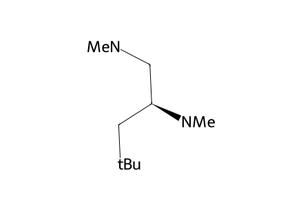 CNC[C@H](CC(C)(C)C)NC